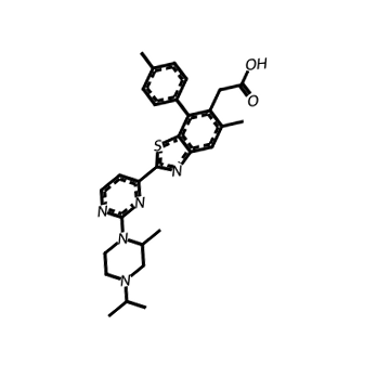 Cc1ccc(-c2c(CC(=O)O)c(C)cc3nc(-c4ccnc(N5CCN(C(C)C)CC5C)n4)sc23)cc1